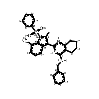 Cc1c(-c2nc3c(c(NCc4ccccc4)n2)CCCC3)c2cccc(C#N)c2n1S(=O)(=O)c1ccccc1